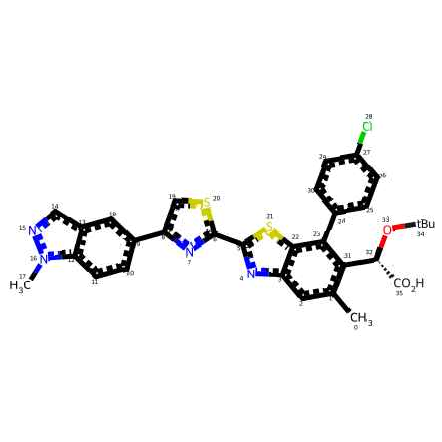 Cc1cc2nc(-c3nc(-c4ccc5c(cnn5C)c4)cs3)sc2c(-c2ccc(Cl)cc2)c1[C@H](OC(C)(C)C)C(=O)O